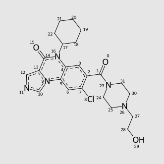 O=C(c1cc2c(cc1Cl)n1cncc1c(=O)n2C1CCCCC1)N1CCN(CCO)CC1